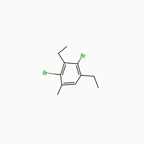 CCc1cc(C)c(Br)c(CC)c1Br